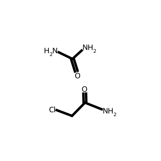 NC(=O)CCl.NC(N)=O